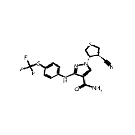 N#C[C@@H]1CSC[C@H]1n1cc(C(N)=O)c(Nc2ccc(SC(F)(F)F)cc2)n1